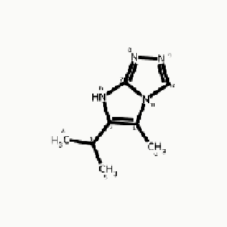 Cc1c(C(C)C)[nH]c2nncn12